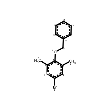 Cc1cc(Br)nc(C)c1OCc1ccccc1